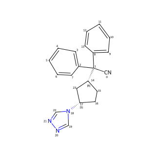 N#CC(c1ccccc1)(c1ccccc1)[C@@H]1CC[C@H](n2cnnc2)C1